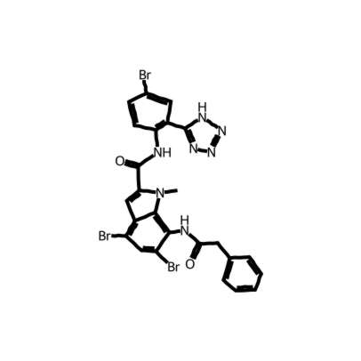 Cn1c(C(=O)Nc2ccc(Br)cc2-c2nnn[nH]2)cc2c(Br)cc(Br)c(NC(=O)Cc3ccccc3)c21